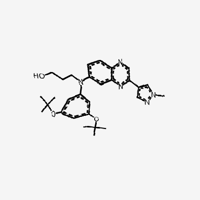 Cn1cc(-c2cnc3ccc(N(CCCO)c4cc(OC(C)(C)C)cc(OC(C)(C)C)c4)cc3n2)cn1